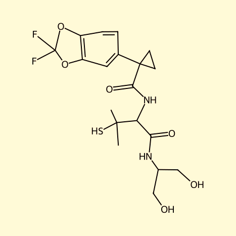 CC(C)(S)C(NC(=O)C1(c2ccc3c(c2)OC(F)(F)O3)CC1)C(=O)NC(CO)CO